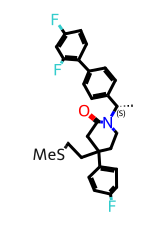 CSCCC1(c2ccc(F)cc2)CCN([C@@H](C)c2ccc(-c3ccc(F)cc3F)cc2)C(=O)C1